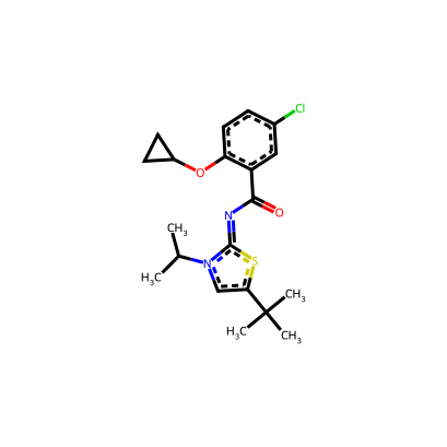 CC(C)n1cc(C(C)(C)C)s/c1=N\C(=O)c1cc(Cl)ccc1OC1CC1